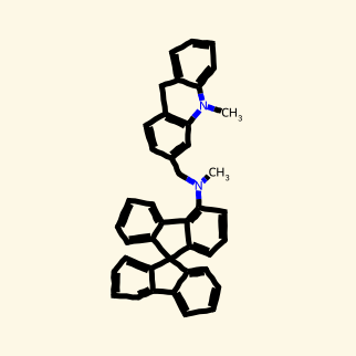 CN(Cc1ccc2c(c1)N(C)c1ccccc1C2)c1cccc2c1-c1ccccc1C21c2ccccc2-c2ccccc21